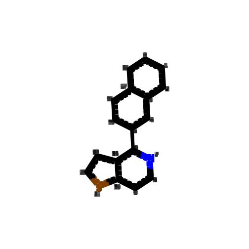 c1ccc2cc(-c3nccc4sccc34)ccc2c1